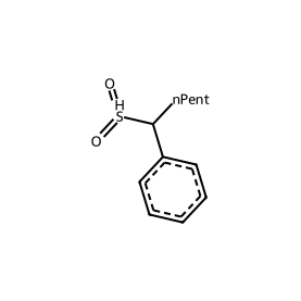 CCCCCC(c1ccccc1)[SH](=O)=O